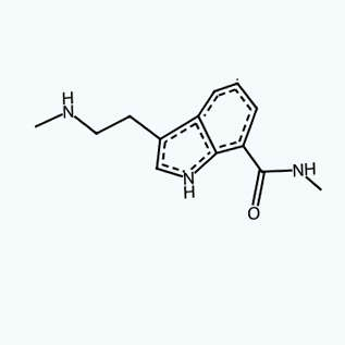 CNCCc1c[nH]c2c(C(=O)NC)c[c]cc12